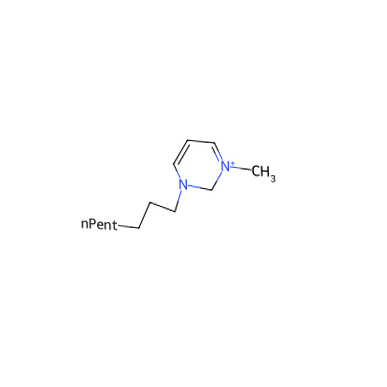 CCCCCCCCN1C=CC=[N+](C)C1